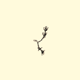 CCCC(CCCCCCCCOc1cc(F)c(C#Cc2cc(F)c(F)c(F)c2)c(F)c1)CCCCCCCCOc1cc(F)c(C#Cc2cc(F)c(F)c(F)c2)c(F)c1